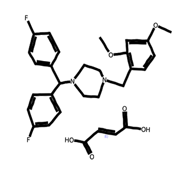 COc1ccc(CN2CCN(C(c3ccc(F)cc3)c3ccc(F)cc3)CC2)c(OC)c1.O=C(O)/C=C/C(=O)O